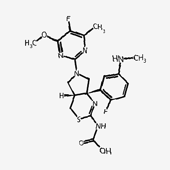 CNc1ccc(F)c([C@]23CN(c4nc(C)c(F)c(OC)n4)C[C@H]2CSC(NC(=O)O)=N3)c1